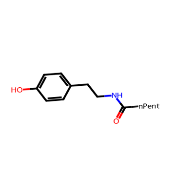 CCCCCC(=O)NCCc1ccc(O)cc1